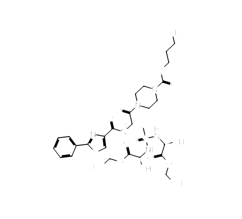 CCCCOC(=O)N1CCN(C(=O)[C@H](CP(=O)(N[C@@H](C)C(=O)OCC)N[C@@H](C)C(=O)OCC)NC(=O)c2csc(-c3ccccc3)n2)CC1